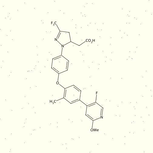 COc1cc(-c2ccc(Oc3ccc(N4N=C(C(F)(F)F)CC4CC(=O)O)cc3)c(C)c2)c(F)cn1